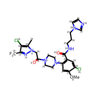 COc1cc(N2CCN(C(=O)Cn3nc(C(F)(F)F)c(Cl)c3C)CC2)c(C(=O)NCCCn2ccnc2)cc1Cl